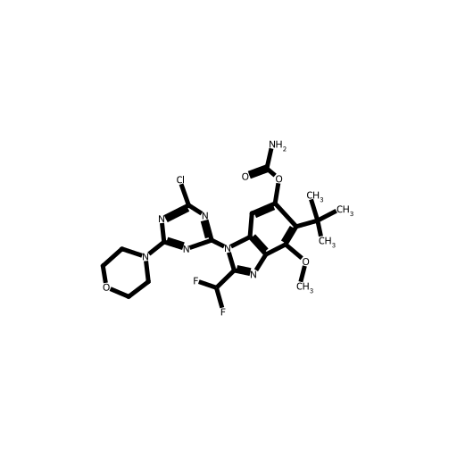 COc1c(C(C)(C)C)c(OC(N)=O)cc2c1nc(C(F)F)n2-c1nc(Cl)nc(N2CCOCC2)n1